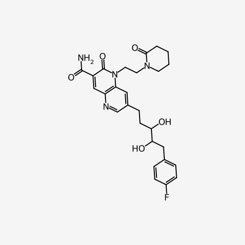 NC(=O)c1cc2ncc(CCC(O)C(O)Cc3ccc(F)cc3)cc2n(CCN2CCCCC2=O)c1=O